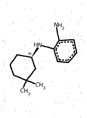 CC1(C)CCC[C@@H](Nc2ccccc2N)C1